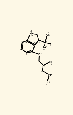 CC(C)NCC(O)COc1cccc2c1C(C(C)(C#N)N=O)CN2